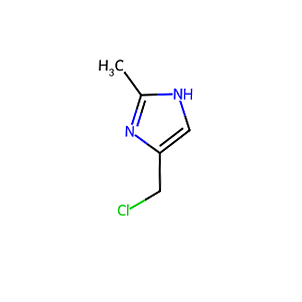 Cc1nc(CCl)c[nH]1